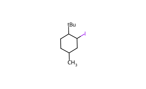 CC1CCC(C(C)(C)C)C(I)C1